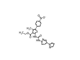 CCOC(=O)c1c(NC(=O)Nc2ccc(-n3cccn3)nn2)sc(-c2ccc([N+](=O)[O-])cc2)c1C